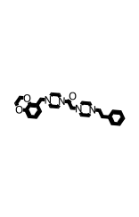 O=C(CN1CCN(CCc2ccccc2)CC1)N1CCN(Cc2cccc3c2OCCO3)CC1